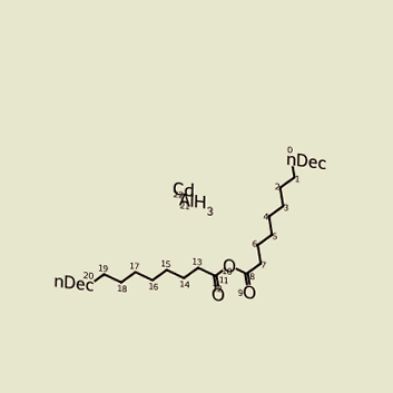 CCCCCCCCCCCCCCCCCC(=O)OC(=O)CCCCCCCCCCCCCCCCC.[AlH3].[Cd]